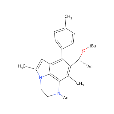 CC(=O)[C@@H](OC(C)(C)C)c1c(C)c2c3c(cc(C)n3CCN2C(C)=O)c1-c1ccc(C)cc1